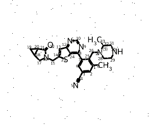 Cc1cc(C#N)cc(-c2ncnc3cc(CN4CC5CC5C4=O)sc23)c1CN1CCNC[C@@H]1C